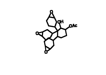 CC(=O)OC1CCC(C2CCC3OC3C2)C(C2CCC3OC3C2)(C2CCC3OC3C2)C1O